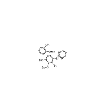 CCOc1c(O)ccc(CC)c1CC.COc1ccccc1O.c1cnnnc1